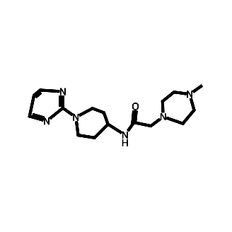 CN1CCN(CC(=O)NC2CCN(c3ncccn3)CC2)CC1